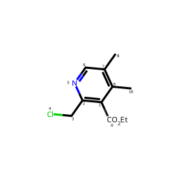 CCOC(=O)c1c(CCl)ncc(C)c1C